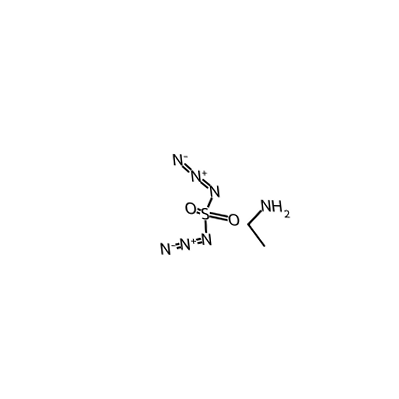 CCN.[N-]=[N+]=NS(=O)(=O)N=[N+]=[N-]